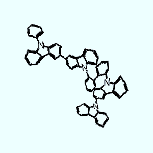 c1ccc(-n2c3ccccc3c3cc(-c4ccc5c(c4)c4ccccc4n5-c4ccccc4-c4ccccc4-n4c5ccccc5c5cc(-n6c7ccccc7c7ccccc76)ccc54)ccc32)cc1